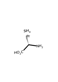 CC(C)[C@H](N)C(=O)O.[SiH4]